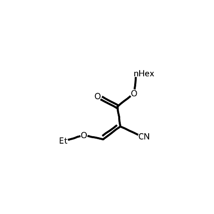 CCCCCCOC(=O)/C(C#N)=C\OCC